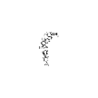 CC(C)N1CCN(c2ccc(-c3cc4cc(NC(=O)C5=C(F)C(N)=CCC5F)cnc4[nH]3)cn2)CC1